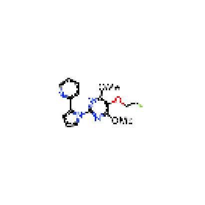 COc1nc(-n2cccc2-c2ccccn2)nc(OC)c1OCCF